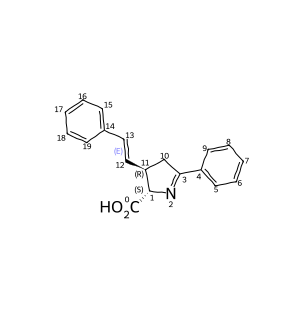 O=C(O)[C@H]1N=C(c2ccccc2)C[C@@H]1/C=C/c1ccccc1